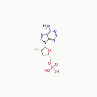 Nc1ncnc2c1ncn2[C@@H]1O[C@H](COP(=O)(O)S)C[C@@H]1F